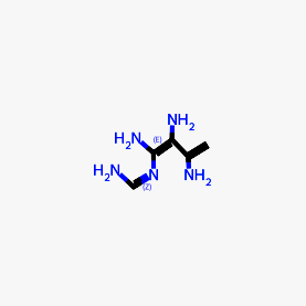 C=C(N)/C(N)=C(N)\N=C/N